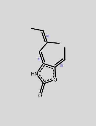 C\C=C(C)/C=c1/[nH]c(=O)o/c1=C/C